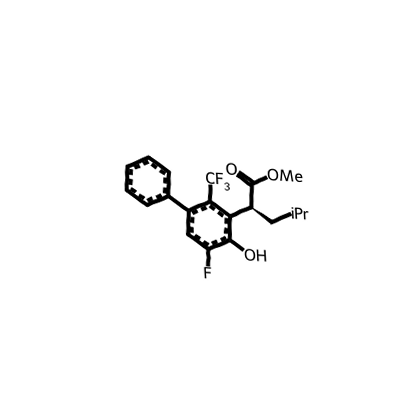 COC(=O)[C@@H](CC(C)C)c1c(O)c(F)cc(-c2ccccc2)c1C(F)(F)F